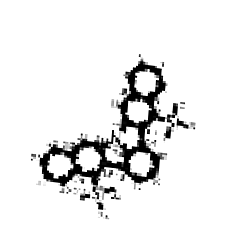 C[Si](C)(C)c1c2ccccc2cc2c1c1cccc3c4c([Si](C)(C)C)c5ccccc5cc4n2c13